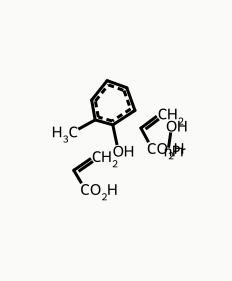 C=CC(=O)O.C=CC(=O)O.CCCO.Cc1ccccc1O